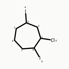 ClC1CC(I)CCCC1I